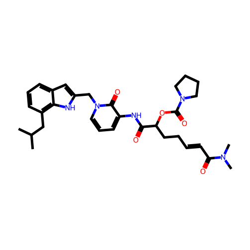 CC(C)Cc1cccc2cc(Cn3cccc(NC(=O)C(CC/C=C/C(=O)N(C)C)OC(=O)N4CCCC4)c3=O)[nH]c12